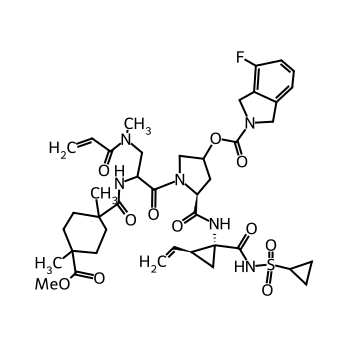 C=CC(=O)N(C)CC(NC(=O)C1(C)CCC(C)(C(=O)OC)CC1)C(=O)N1CC(OC(=O)N2Cc3cccc(F)c3C2)C[C@H]1C(=O)N[C@]1(C(=O)NS(=O)(=O)C2CC2)C[C@H]1C=C